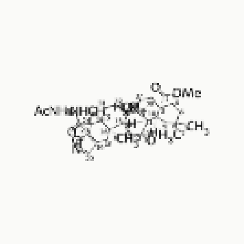 COC(=O)[C@]12CCC(C)(C)C[C@H]1[C@H]1C(=O)C=C3[C@@]4(C)Cc5cnoc5[C@@](C)(C(=O)NNC(C)=O)C4CC[C@@]3(C)[C@]1(C)CC2